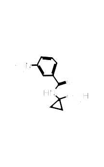 O=C(NC1(C(=O)O)CC1)c1cccc([N+](=O)[O-])c1